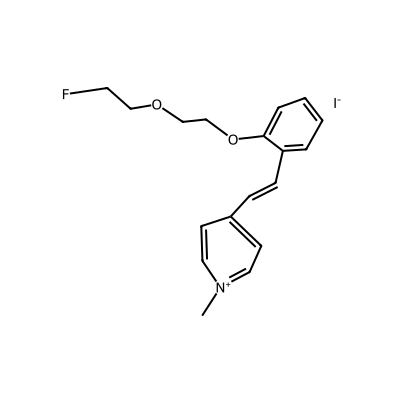 C[n+]1ccc(C=Cc2ccccc2OCCOCCF)cc1.[I-]